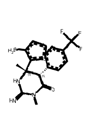 Bc1ccsc1[C@@]1(C)NC(=N)N(C)C(=O)[C@H]1c1ccc(C(F)(F)F)cc1